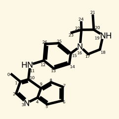 Cc1cnc2ccccc2c1Nc1ccc(N2CCNC(C)C2(C)C)cc1